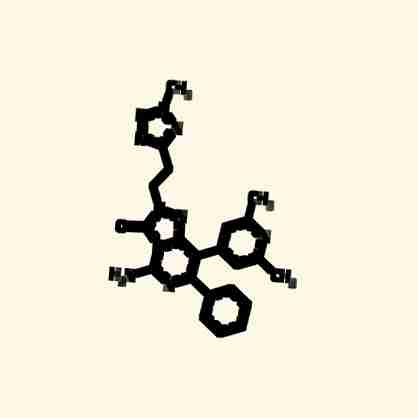 Cc1cc(-c2c(-c3ccccc3)nc(N)n3c(=O)n(CCc4nnn(C)n4)nc23)cc(C)n1